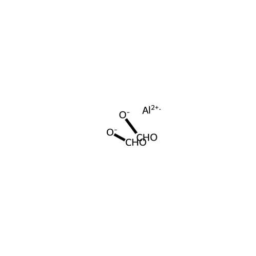 O=C[O-].O=C[O-].[Al+2]